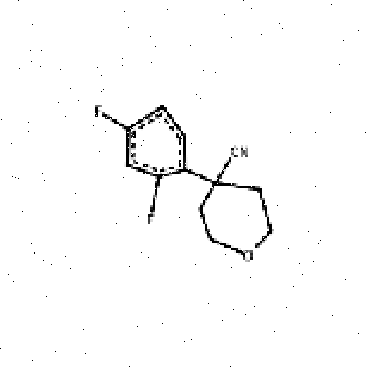 N#CC1(c2ccc(F)cc2F)CCOCC1